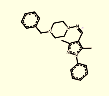 Cc1nn(-c2ccccc2)c(C)c1/C=N\N1CCN(Cc2ccccc2)CC1